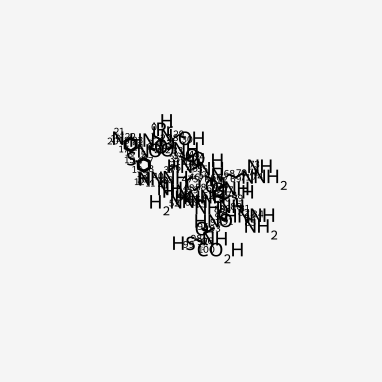 CC(C)[C@H](NC(=O)N1c2ccc(N(C)C)cc2Sc2cc(N(C)C)ccc21)C(=O)N[C@@H](CO)C(=O)N[C@@H](CCCNC(=N)N)C(=O)N[C@@H](CCCNC(=N)N)C(=O)N[C@@H](CCCNC(=N)N)C(=O)N[C@@H](CCCNC(=N)N)C(=O)N[C@@H](CCCNC(=N)N)C(=O)NCC(=O)NCC(=O)N[C@@H](CS)C(=O)O